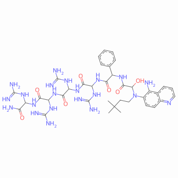 CC(C)(C)CCN(c1ccc2ncccc2c1N)C(O)C(=O)NC(C(=O)NC(NC(=N)N)C(=O)NC(NC(=N)N)C(=O)NC(NC(=N)N)C(=O)NC(NC(=N)N)C(N)=O)c1ccccc1